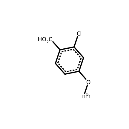 CCCOc1ccc(C(=O)O)c(Cl)c1